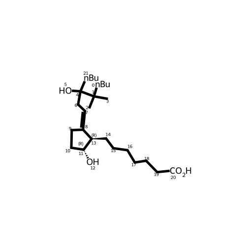 CCCCC(C)(C)C(O)(CC=C1CC[C@@H](O)[C@@H]1CCCCCCC(=O)O)CCCC